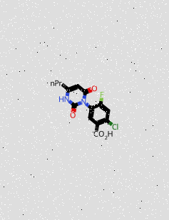 CCCc1cc(=O)n(-c2cc(C(=O)O)c(Cl)cc2F)c(=O)[nH]1